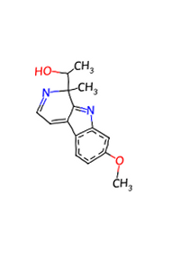 COc1ccc2c(c1)N=C1C2=CC=NC1(C)C(C)O